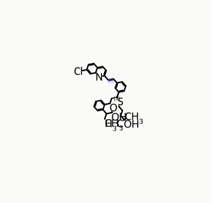 CCC(C(=O)O)c1ccccc1CC[C@H](SCCCC(C)(C)O)c1cccc(/C=C/c2ccc3ccc(Cl)cc3n2)c1